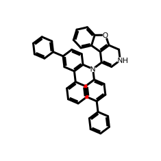 C1=C(N(c2ccc(-c3ccccc3)cc2)c2ccc(-c3ccccc3)cc2-c2ccccc2)c2c(oc3ccccc23)CN1